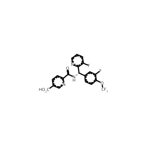 O=C(O)c1ccc(C(=O)N[C@@H](c2ccc(OC(F)(F)F)c(F)c2)c2ncccc2F)nc1